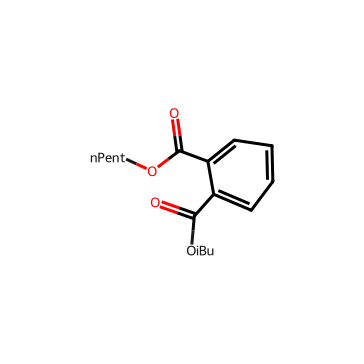 CCCCCOC(=O)c1ccccc1C(=O)OCC(C)C